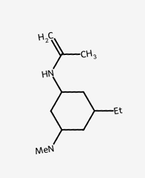 C=C(C)NC1CC(CC)CC(NC)C1